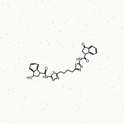 O=C1CC(C(=O)Nc2nnc(CCCCc3nnc(NC(=O)C4CC(O)c5ccccc54)s3)s2)c2ccccc21